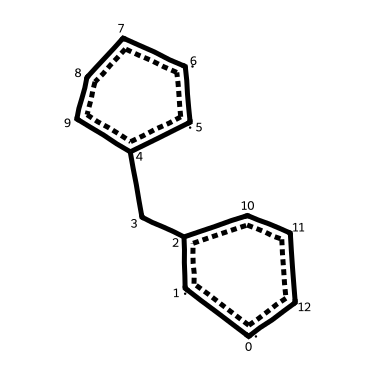 [c]1[c]c(Cc2[c][c]ccc2)ccc1